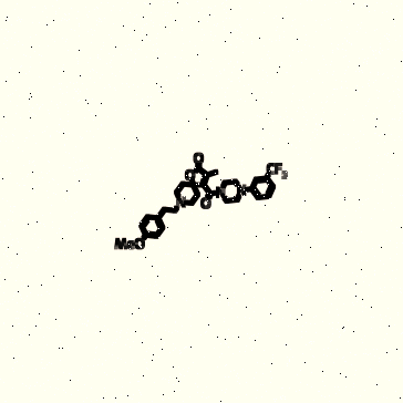 COc1ccc(CCN2CCC3(CC2)OC(=O)C(C)=C3C(=O)N2CCN(c3cccc(C(F)(F)F)c3)CC2)cc1